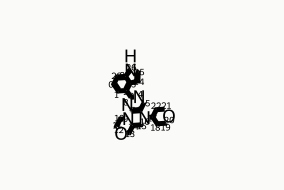 c1cc(-c2ncc3c(n2)N2CCOCC2CN3C2CCOCC2)c2cc[nH]c2c1